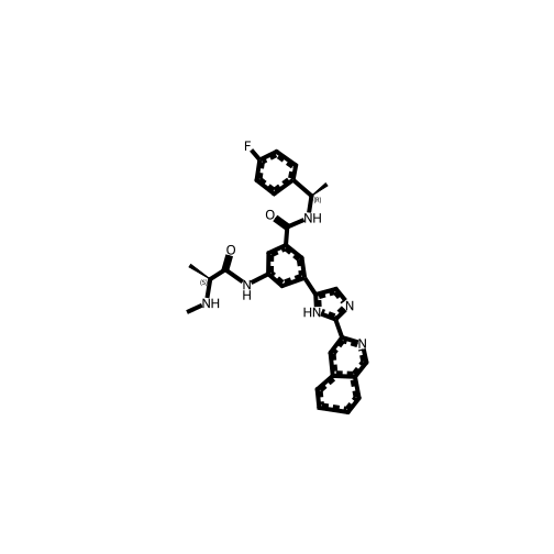 CN[C@@H](C)C(=O)Nc1cc(C(=O)N[C@H](C)c2ccc(F)cc2)cc(-c2cnc(-c3cc4ccccc4cn3)[nH]2)c1